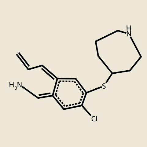 C=C/C=c1/cc(SC2CCCNCC2)c(Cl)c/c1=C/N